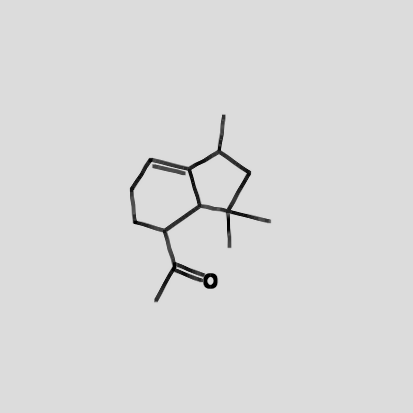 CC(=O)C1CCC=C2C(C)CC(C)(C)C21